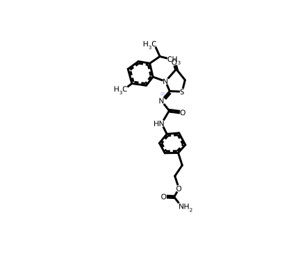 Cc1ccc(C(C)C)c(N2C(=O)CS/C2=N\C(=O)Nc2ccc(CCOC(N)=O)cc2)c1